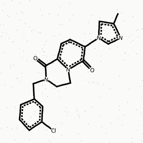 Cc1cn(-c2ccc3n(c2=O)CCN(Cc2cccc(Cl)c2)C3=O)cn1